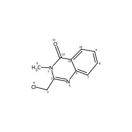 Cn1c(CCl)nc2ccccc2c1=O